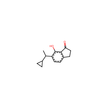 CC(c1ccc2c(c1O)C(=O)CC2)C1CC1